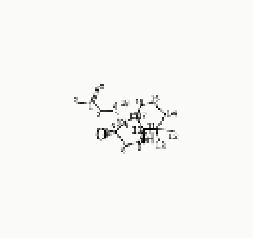 C=C(C)CC[C@H]1C(=O)CC[C@H]2C(C)(C)CCC[C@]12C